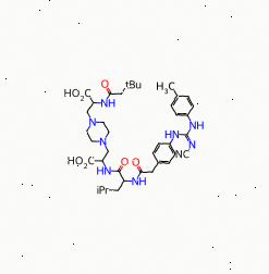 Cc1ccc(NC(=NC#N)Nc2ccc(CC(=O)NC(CC(C)C)C(=O)NC(CN3CCN(CC(NC(=O)CC(C)(C)C)C(=O)O)CC3)C(=O)O)cc2)cc1